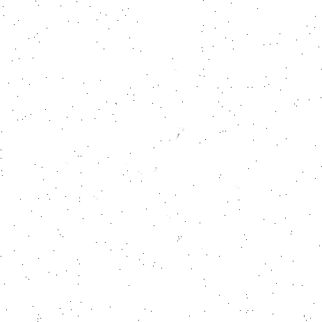 CC(C)CNS(=O)(=O)c1cc2c(c3cnc(C4CC4)cc13)[C@H](NC(=O)c1cnc3nccnc3c1)C[C@H]2NC(=O)c1cccnc1